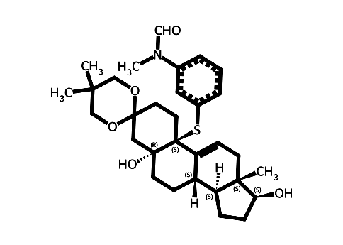 CN(C=O)c1cccc(S[C@]23CCC4(C[C@]2(O)CC[C@@H]2C3=CC[C@]3(C)[C@@H](O)CC[C@@H]23)OCC(C)(C)CO4)c1